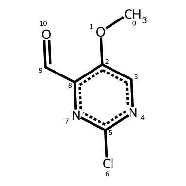 COc1cnc(Cl)nc1C=O